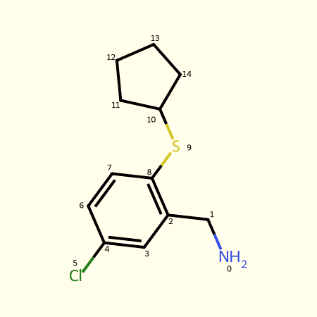 NCc1cc(Cl)ccc1SC1CCCC1